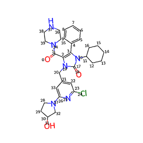 O=C(c1c(-c2ccccc2)n(C2CCCCC2)c(=O)n1Cc1cc(Cl)nc(N2CCC(O)C2)c1)N1CCNCC1